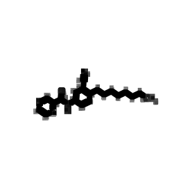 CCCCCCCCc1ccc(NC(=O)c2cnccn2)cc1C#N